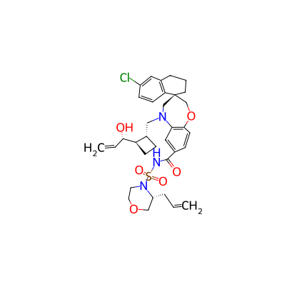 C=CC[C@@H]1COCCN1S(=O)(=O)NC(=O)c1ccc2c(c1)N(C[C@@H]1CC[C@H]1[C@@H](O)C=C)C[C@@]1(CCCc3cc(Cl)ccc31)CO2